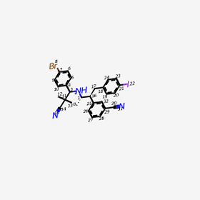 C[C@H](NC(c1ccc(Br)cc1)C(C)(C)C#N)[C@@H](Cc1ccc(I)cc1)c1cccc(C#N)c1